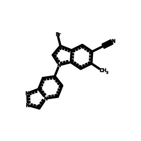 Cc1cc2c(cc1C#N)c(Br)cn2-c1ccn2cnnc2c1